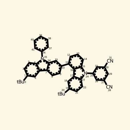 CC(C)(C)c1ccc2c(c1)c1ccc(-c3cccc4c3c3cc(C(C)(C)C)ccc3n4-c3cc(C#N)cc(C#N)c3)cc1n2-c1ccccc1